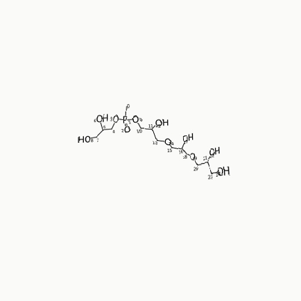 CP(=O)(OCC(O)CO)OCC(O)COCC(O)COCC(O)CO